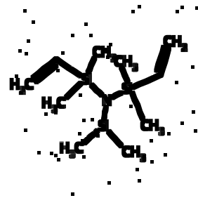 C=C[Si](C)(C)N([Si](C)C)[Si](C)(C)C=C